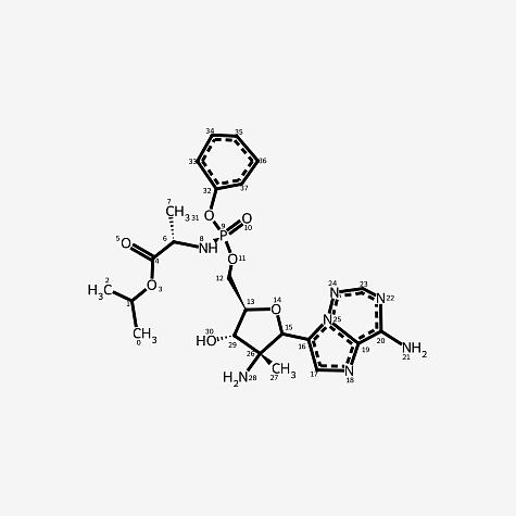 CC(C)OC(=O)[C@H](C)N[P@@](=O)(OC[C@H]1OC(c2cnc3c(N)ncnn23)[C@](C)(N)[C@@H]1O)Oc1ccccc1